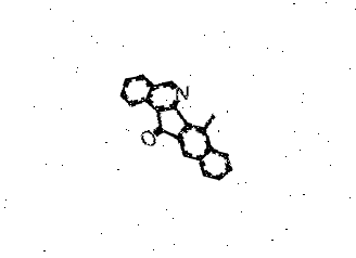 Cc1c2c(cc3ccccc13)C(=O)c1c-2ncc2ccccc12